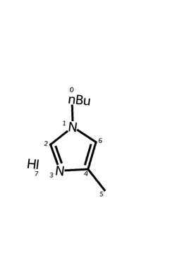 CCCCn1cnc(C)c1.I